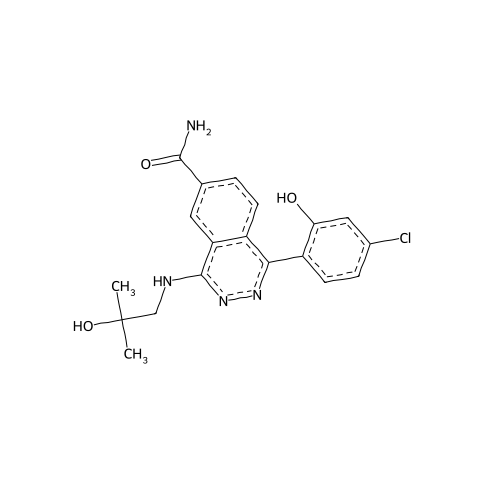 CC(C)(O)CNc1nnc(-c2ccc(Cl)cc2O)c2ccc(C(N)=O)cc12